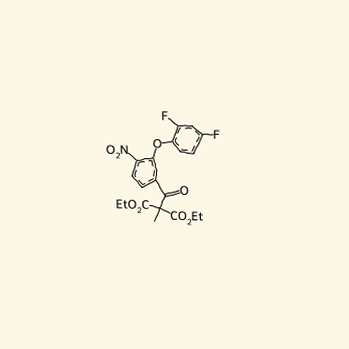 CCOC(=O)C(C)(C(=O)OCC)C(=O)c1ccc([N+](=O)[O-])c(Oc2ccc(F)cc2F)c1